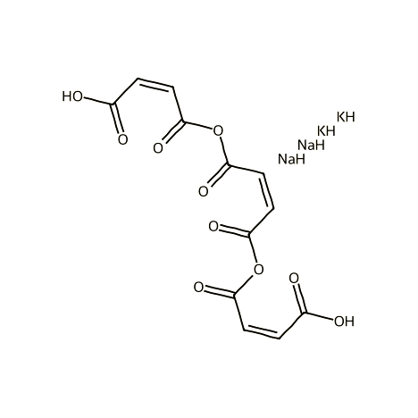 O=C(O)/C=C\C(=O)OC(=O)/C=C\C(=O)OC(=O)/C=C\C(=O)O.[KH].[KH].[NaH].[NaH]